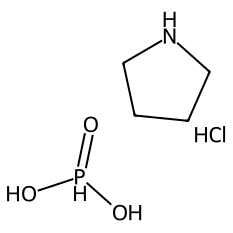 C1CCNC1.Cl.O=[PH](O)O